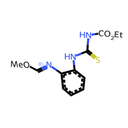 CCOC(=O)NC(=S)Nc1ccccc1/N=C/OC